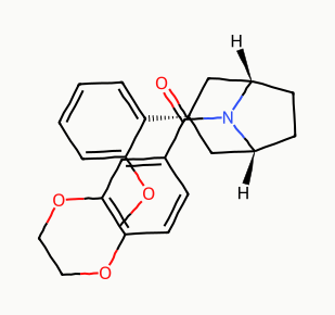 COc1ccccc1[C@H]1C[C@H]2CC[C@@H](C1)N2C(=O)c1ccc2c(c1)OCCO2